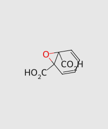 O=C(O)C12C=CC=CC1(C(=O)O)O2